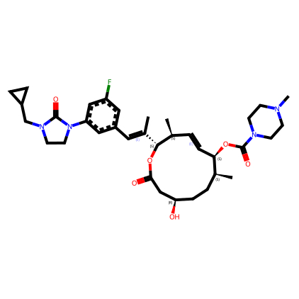 C/C(=C\c1cc(F)cc(N2CCN(CC3CC3)C2=O)c1)[C@H]1OC(=O)C[C@H](O)CC[C@H](C)[C@H](OC(=O)N2CCN(C)CC2)/C=C/[C@@H]1C